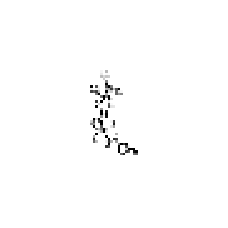 COCCC(C)(C)OCCC(C)(C)C(C)C